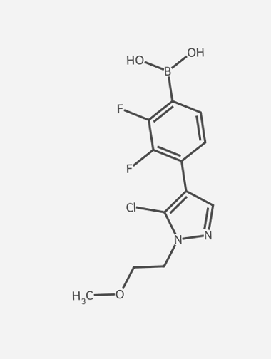 COCCn1ncc(-c2ccc(B(O)O)c(F)c2F)c1Cl